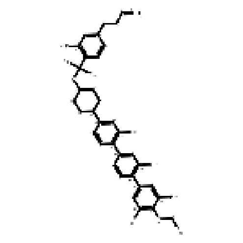 C=CCCc1ccc(C(F)(F)OC2CCC(c3ccc(-c4ccc(-c5cc(F)c(OCF)c(F)c5)c(F)c4)c(F)c3)CC2)c(F)c1